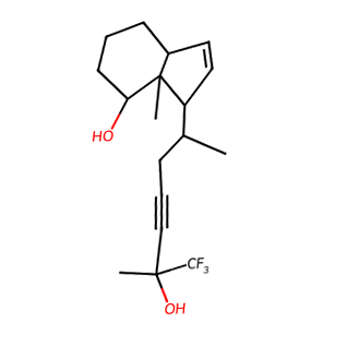 CC(CC#CC(C)(O)C(F)(F)F)C1C=CC2CCCC(O)C21C